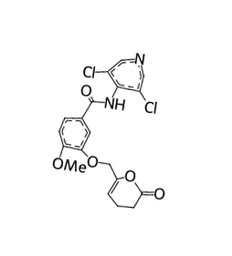 COc1ccc(C(=O)Nc2c(Cl)cncc2Cl)cc1OCC1=CCCC(=O)O1